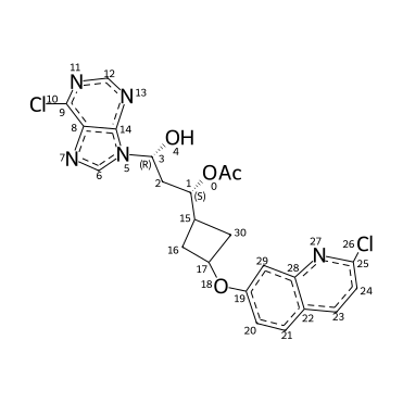 CC(=O)O[C@@H](C[C@@H](O)n1cnc2c(Cl)ncnc21)C1CC(Oc2ccc3ccc(Cl)nc3c2)C1